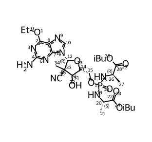 CCOc1nc(N)nc2c1ncn2[C@@H]1O[C@H](COP(=O)(N[C@@H](C)C(=O)OCC(C)C)N[C@H](C)C(=O)OCC(C)C)[C@@H](O)[C@@]1(C)C#N